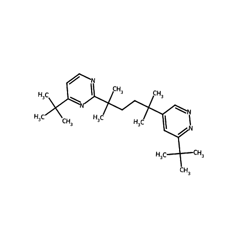 CC(C)(C)c1cc(C(C)(C)CCC(C)(C)c2nccc(C(C)(C)C)n2)cnn1